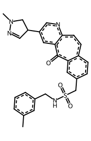 Cc1cccc(CNS(=O)(=O)Cc2ccc3ccc4ncc(C5C=NN(C)C5)cc4c(=O)c3c2)c1